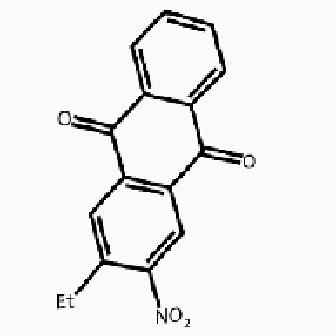 CCc1cc2c(cc1[N+](=O)[O-])C(=O)c1ccccc1C2=O